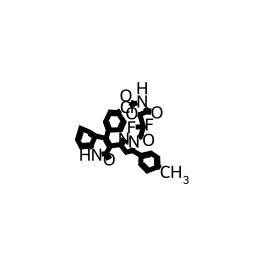 Cc1ccc(C2CC(c3c(-c4ccc(Cl)cc4)c4ccccc4[nH]c3=O)=NN2C(=O)C(F)(F)C2OC(=O)NC2=O)cc1